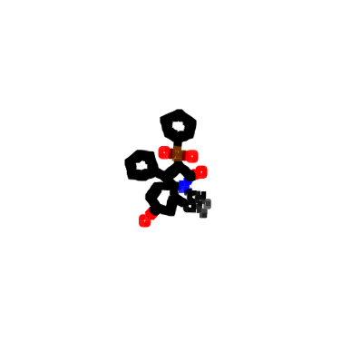 CC1=CC(=O)C=CC12C(c1ccccc1)=C(S(=O)(=O)c1ccccc1)C(=O)N2C